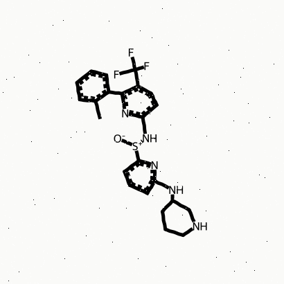 Cc1ccccc1-c1nc(N[S+]([O-])c2cccc(NC3CCCNC3)n2)ccc1C(F)(F)F